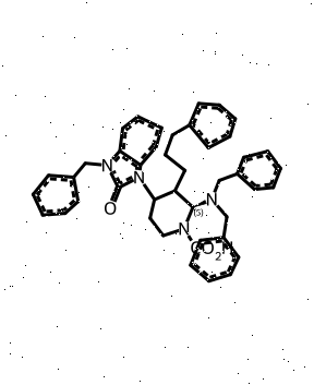 O=C(O)N1CCC(n2c(=O)n(Cc3ccccc3)c3ccccc32)C(CCCc2ccccc2)[C@H]1N(Cc1ccccc1)Cc1ccccc1